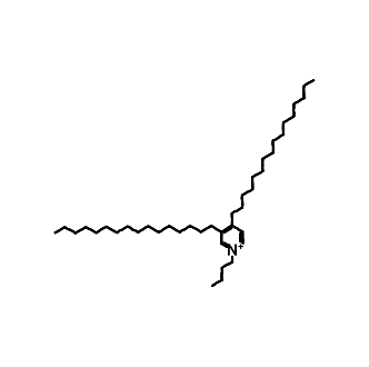 CCCCCCCCCCCCCCCCc1cc[n+](CCCC)cc1CCCCCCCCCCCCCCCC